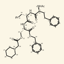 CC(=O)N[C@@H](CCc1ccccc1)C(=O)N[C@@H](CC(C)C)C(=O)N[C@@H](COC(=O)CN1CCCCC1)C(=O)OCc1ccccc1